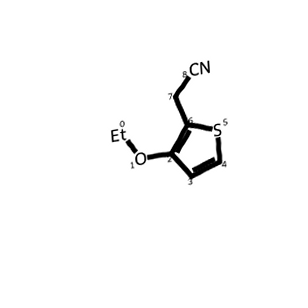 CCOc1ccsc1CC#N